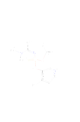 CCCC(=NP(=S)(Oc1cnccc1C(C)C)OC(CC)CC)N(C(C)C)C(C)C